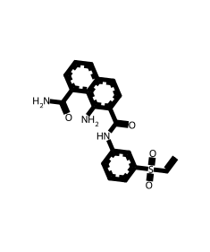 C=CS(=O)(=O)c1cccc(NC(=O)c2ccc3cccc(C(N)=O)c3c2N)c1